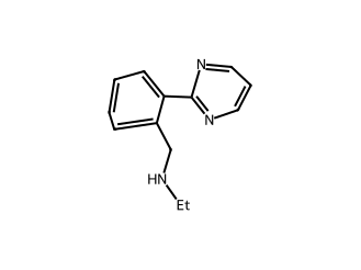 CCNCc1ccccc1-c1ncccn1